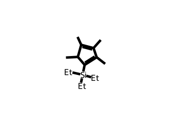 CC[Si](CC)(CC)C1=C(C)C(C)=C(C)C1C